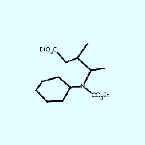 CCOC(=O)CC(C)C(C)N(C(=O)OCC)C1CCCCC1